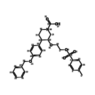 Cc1ccc(S(=O)(=O)OCCOC2CN(C(=O)O)CCC2c2ccc(OCc3ccccc3)cc2)cc1